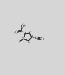 [C-]#[N+][C@H]1C[C@@H](C(=O)O)N(C)C1